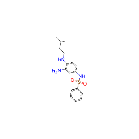 CC(C)CCNc1ccc(NS(=O)(=O)c2ccccc2)cc1N